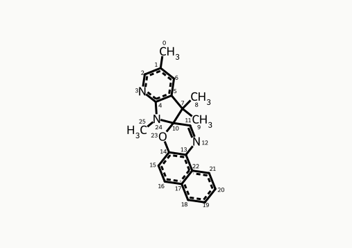 Cc1cnc2c(c1)C(C)(C)C1(C=Nc3c(ccc4ccccc34)O1)N2C